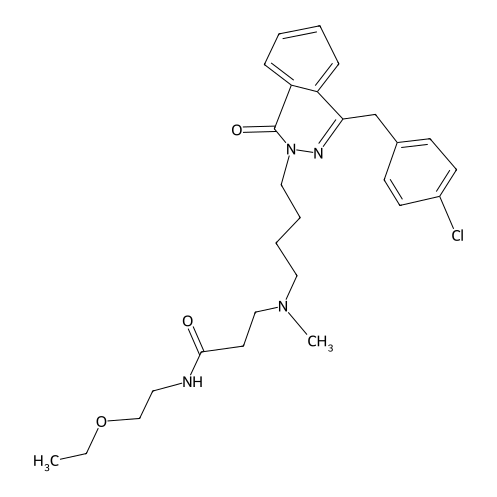 CCOCCNC(=O)CCN(C)CCCCn1nc(Cc2ccc(Cl)cc2)c2ccccc2c1=O